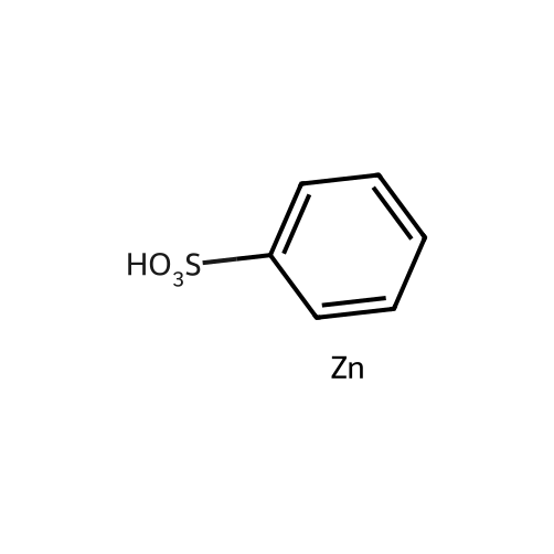 O=S(=O)(O)c1ccccc1.[Zn]